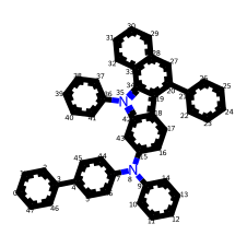 c1ccc(-c2ccc(N(c3ccccc3)c3ccc4c5c(-c6ccccc6)cc6ccccc6c5n(-c5ccccc5)c4c3)cc2)cc1